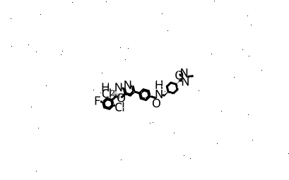 Cc1noc([C@H]2CC[C@H](CNC(=O)c3ccc(-c4cnc(N)c(O[C@@H](C)c5c(Cl)ccc(F)c5Cl)c4)cc3)CC2)n1